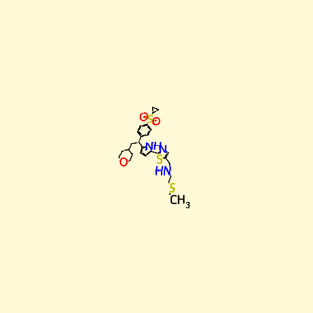 CCSCCNCc1cnc(-c2ccc(C(CC3CCOCC3)c3ccc(S(=O)(=O)C4CC4)cc3)[nH]2)s1